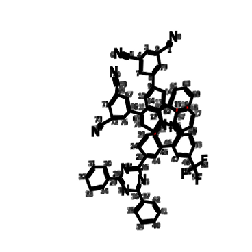 N#Cc1cc(C#N)cc(-c2ccc3c(c2)c2ccccc2n3-c2ccc(-c3nc(-c4ccccc4)nc(-c4ccccc4)n3)cc2-c2cc(C(F)(F)F)ccc2-n2c3ccccc3c3cc(-c4cc(C#N)cc(C#N)c4)ccc32)c1